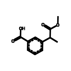 COC(=O)C(C)c1cccc(C(=O)O)c1